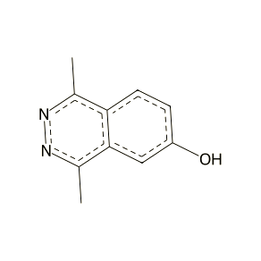 Cc1nnc(C)c2cc(O)ccc12